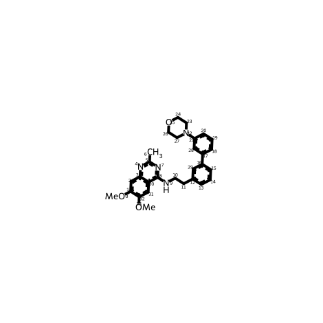 COc1cc2nc(C)nc(NCCc3cccc(-c4cccc(N5CCOCC5)c4)c3)c2cc1OC